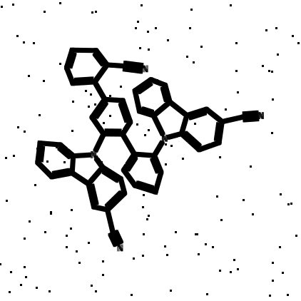 N#Cc1ccc2c(c1)c1ccccc1n2-c1ccccc1-c1ccc(-c2ccccc2C#N)cc1-n1c2ccccc2c2cc(C#N)ccc21